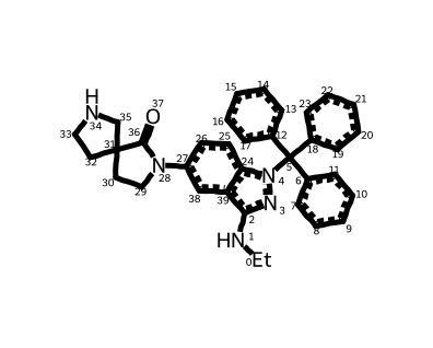 CCNc1nn(C(c2ccccc2)(c2ccccc2)c2ccccc2)c2ccc(N3CCC4(CCNC4)C3=O)cc12